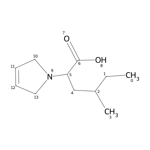 CCC(C)CC(C(=O)O)N1CC=CC1